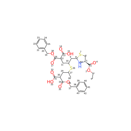 CCOC(=O)[C@@H]1CSC(CC(CC(C(=O)O)C(=O)OCc2ccccc2)SC(C)CC(C(=O)O)C(=O)OCc2ccccc2)N1